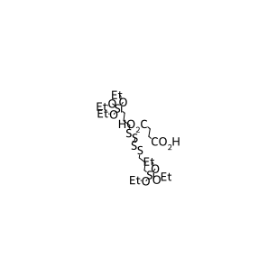 CCO[Si](CCCSSSSCCC[Si](OCC)(OCC)OCC)(OCC)OCC.O=C(O)CCC(=O)O